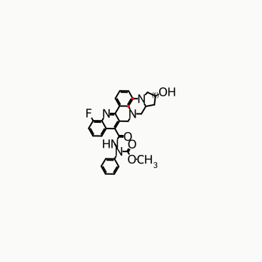 COC(=O)N(NC(=O)c1c(CN2CCN3C[C@@H](O)CC3C2)c(-c2ccccc2)nc2c(F)cccc12)c1ccccc1